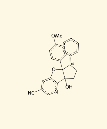 COc1ccc(C23Oc4cc(C#N)cnc4C2(O)CC[C@H]3c2ccccc2)cc1